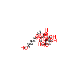 CC(O)CO.OCC(O)CO.OCCCCCCO.OCCCCO.OCCO